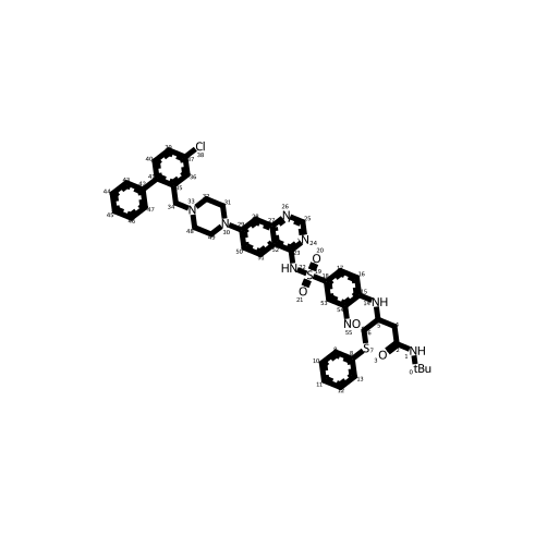 CC(C)(C)NC(=O)CC(CSc1ccccc1)Nc1ccc(S(=O)(=O)Nc2ncnc3cc(N4CCN(Cc5cc(Cl)ccc5-c5ccccc5)CC4)ccc23)cc1[N+](=O)[O-]